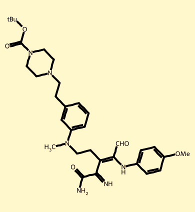 COc1ccc(N/C(C=O)=C(/CCN(C)c2cccc(CCN3CCN(C(=O)OC(C)(C)C)CC3)c2)C(=N)C(N)=O)cc1